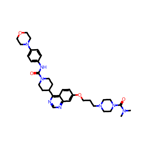 CN(C)C(=O)N1CCN(CCCOc2ccc3c(C4CCN(C(=O)Nc5ccc(N6CCOCC6)cc5)CC4)ncnc3c2)CC1